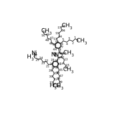 CCCCCCc1cc(C2=C(C)C(CCCC)=C(c3cc(CCCCCC)c(CCCCCC)c(CCCCCC)c3)[N+]2=[N-])cc(CCCCCC)c1CCCCCC.[Ni]